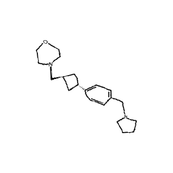 c1cc([C@H]2C[C@H](CN3CCOCC3)C2)ccc1CN1CCCC1